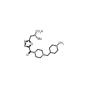 CN1CCC(CN2CCN(C(=O)c3nnc(CN(C(=O)O)C(C)(C)C)o3)CC2)CC1